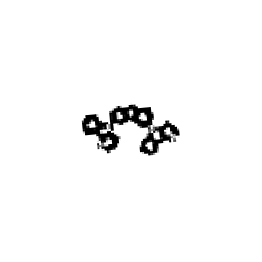 c1ccc2c(c1)c1ncccc1n2-c1ccc2c(c1)-c1cc(-n3c4ccccc4c4ncccc43)ccc1C2